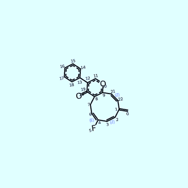 C=C1/C=C\C(F)=C/Cc2c(occ(-c3ccccc3)c2=O)/C=C\1